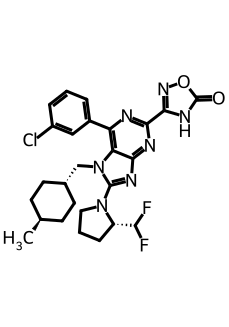 C[C@H]1CC[C@H](Cn2c(N3CCC[C@H]3C(F)F)nc3nc(-c4noc(=O)[nH]4)nc(-c4cccc(Cl)c4)c32)CC1